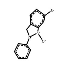 [O-][S+]1c2cc(Br)ccc2CN1c1ccccc1